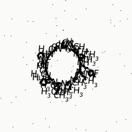 CCCCN1CC(=O)N(C)[C@@H](CC(C)C)C(=O)N[C@@H](COC(C)(C)C)C(=O)N(C)[C@@H](Cc2ccccc2)C(=O)N(C)[C@@H](C)C(=O)N[C@H](C(=O)N2CCCCC2)CCN[C@H](C)C(=O)N(C)C(CC)C(=O)N[C@@H](C(C)C)C(=O)N(C)[C@@H](CC(C)C)C(=O)N[C@@H](CCC[C@@H]2CC(F)(F)CN2)C1=O